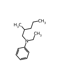 CCCC(C)CN(CC)c1ccccc1